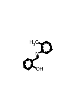 Cc1ccccc1N=Cc1ccccc1O